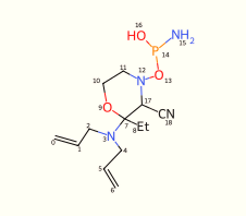 C=CCN(CC=C)C1(CC)OCCN(OP(N)O)C1C#N